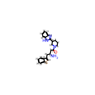 N[C@@H](CC(=O)N1CCCC(c2nc3ccccc3[nH]2)C1)Cc1csc2ccccc12